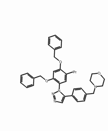 CC(C)c1cc(-n2nncc2-c2ccc(CN3CCOCC3)cc2)c(OCc2ccccc2)cc1OCc1ccccc1